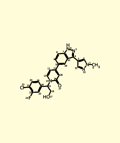 Cn1cc(-c2n[nH]c3ccc(-c4ccn(C(CO)c5ccc(Cl)c(F)c5)c(=O)c4)cc23)cn1